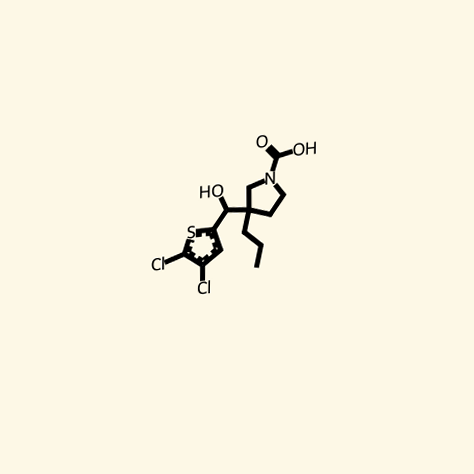 CCCC1(C(O)c2cc(Cl)c(Cl)s2)CCN(C(=O)O)C1